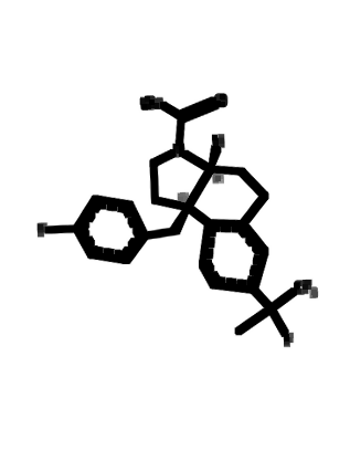 CC(C)(C)C(=O)N1CC[C@@]2(Cc3ccc(F)cc3)c3ccc(C(C)(F)C(F)(F)F)cc3CC[C@@H]12